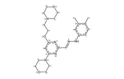 Cc1ccc(NN=Cc2nc(OCCN3CCOCC3)cc(N3CCOCC3)n2)cc1C